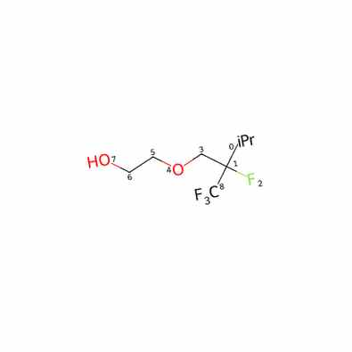 CC(C)C(F)(COCCO)C(F)(F)F